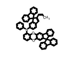 C/C=C\C1=Cc2ccc(N(c3ccccc3)c3cccc4c3Oc3cc5c(cc3O4)C3(c4ccccc4-c4ccccc43)c3ccccc3-5)cc2C12c1ccccc1-c1ccccc12